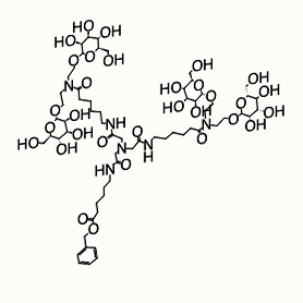 O=C(CN(CC(=O)NCCCCCC(=O)N(CCOC1O[C@H](CO)[C@@H](O)[C@H](O)[C@@H]1O)CCO[C@H]1O[C@H](CO)[C@@H](O)[C@H](O)[C@@H]1O)CC(=O)NCCCCCC(=O)N(CCOC1O[C@H](CO)[C@@H](O)[C@H](O)[C@@H]1O)CCO[C@H]1O[C@H](CO)[C@@H](O)[C@H](O)[C@@H]1O)NCCCCCC(=O)OCc1ccccc1